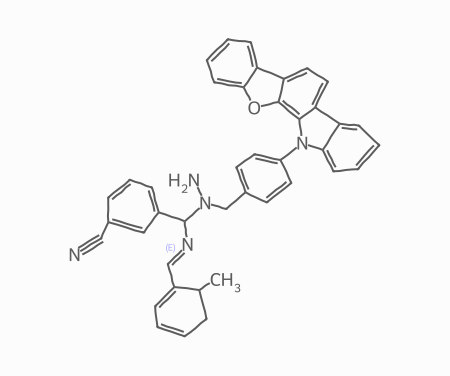 CC1CC=CC=C1/C=N/C(c1cccc(C#N)c1)N(N)Cc1ccc(-n2c3ccccc3c3ccc4c5ccccc5oc4c32)cc1